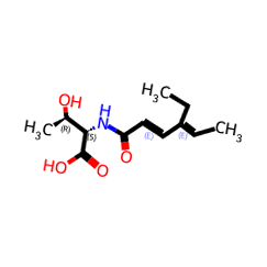 C/C=C(/C=C/C(=O)N[C@H](C(=O)O)[C@@H](C)O)CC